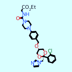 CCOC(=O)CNC(=O)N1CCN(c2ccc(CO[C@H]3CO[C@](Cn4ccnc4)(c4ccccc4Cl)OC3)cc2)CC1